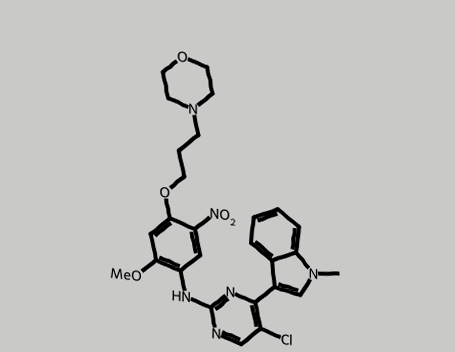 COc1cc(OCCCN2CCOCC2)c([N+](=O)[O-])cc1Nc1ncc(Cl)c(-c2cn(C)c3ccccc23)n1